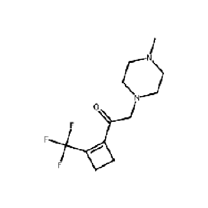 CN1CCN(CC(=O)C2=C(C(F)(F)F)CC2)CC1